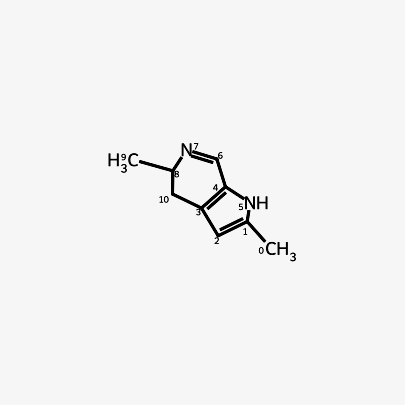 Cc1cc2c([nH]1)C=NC(C)C2